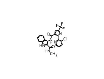 CNC(=O)c1[nH]c2ccccc2c1NC(=O)c1cc(C(F)(F)F)nn1-c1ncccc1Cl